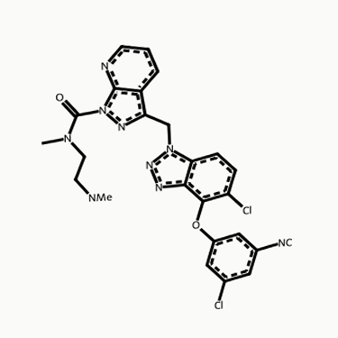 [C-]#[N+]c1cc(Cl)cc(Oc2c(Cl)ccc3c2nnn3Cc2nn(C(=O)N(C)CCNC)c3ncccc23)c1